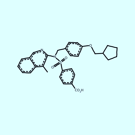 Cc1c(N(Cc2ccc(OCC3CCCC3)cc2)S(=O)(=O)c2ccc(C(=O)O)cc2)ncc2ccccc12